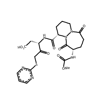 COC(=O)N[C@H]1CCC(=O)N2CCC[C@@H](C(=O)N[C@@H](CC(=O)O)C(=O)CSc3ncccn3)N2C1=O